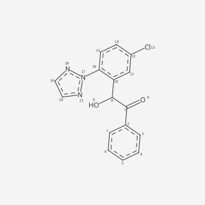 O=C(c1ccccc1)C(O)c1cc(Cl)ccc1-n1nccn1